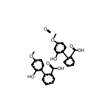 C=O.COc1ccc(-c2ccccc2C(=O)O)c(O)c1.COc1ccc(-c2ccccc2C(=O)O)c(O)c1